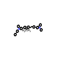 CC1(C)c2cc(/C=C/c3ccc(-c4ccc5c(c4)c4ccccc4n5-c4ccccc4)cc3)ccc2-c2ccc(-c3ccc4c(c3)c3ccccc3n4-c3ccc(-c4ccccc4)cc3)cc21